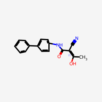 C/C(O)=C(\C#N)C(=O)Nc1ccc(-c2ccccc2)cc1